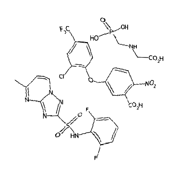 Cc1ccn2nc(S(=O)(=O)Nc3c(F)cccc3F)nc2n1.O=C(O)CNCP(=O)(O)O.O=C(O)c1cc(Oc2ccc(C(F)(F)F)cc2Cl)ccc1[N+](=O)[O-]